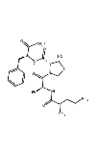 CC(C)[C@H](NC(=O)N(C)CCN)C(=O)N1CSC[C@H]1C(=O)N[C@@H](Cc1ccccc1)C(=O)C(=O)O.Cl